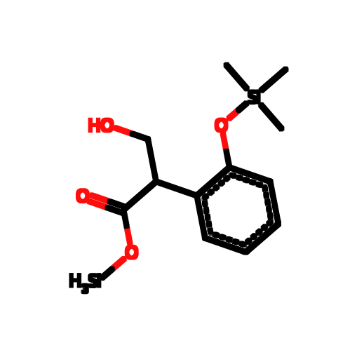 C[Si](C)(C)Oc1ccccc1C(CO)C(=O)O[SiH3]